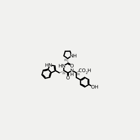 O=C(O)[C@H](Cc1ccc(O)cc1)NC(=O)[C@H](Cc1c[nH]c2ccccc12)NC(=O)[C@@H]1CCCN1